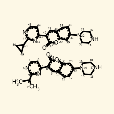 CC(C)c1nccc(-c2cc3ccc(N4CCNCC4)cc3oc2=O)n1.O=c1oc2cc(N3CCNCC3)ccc2cc1-c1ccnc(C2CC2)n1